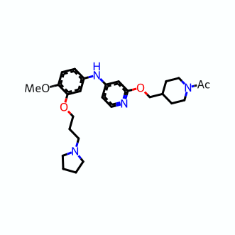 COc1ccc(Nc2ccnc(OCC3CCN(C(C)=O)CC3)c2)cc1OCCCN1CCCC1